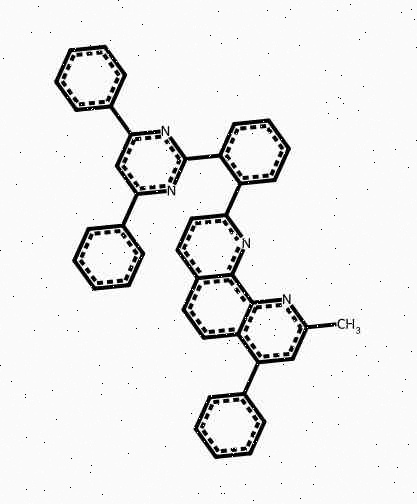 Cc1cc(-c2ccccc2)c2ccc3ccc(-c4ccccc4-c4nc(-c5ccccc5)cc(-c5ccccc5)n4)nc3c2n1